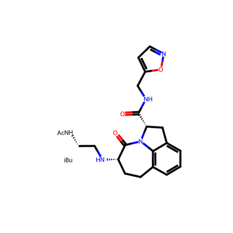 CC[C@H](C)[C@@H](CN[C@H]1CCc2cccc3c2N(C1=O)[C@H](C(=O)NCc1ccno1)C3)NC(C)=O